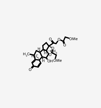 COCC(=O)OCC(=O)[C@@]1(OC(=O)COC)CC[C@H]2[C@@H]3CC(C)C4=CC(=O)C=C[C@]4(C)[C@H]3C(O)C[C@@]21C